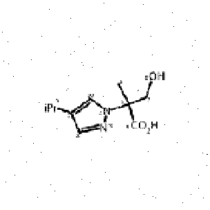 CC(C)c1cnn(C(C)(CO)C(=O)O)c1